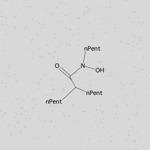 CCCCCC(CCCCC)C(=O)N(O)CCCCC